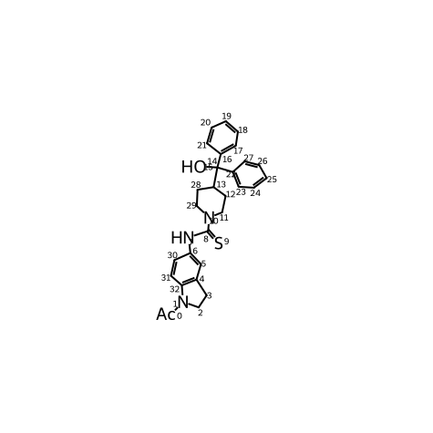 CC(=O)N1CCc2cc(NC(=S)N3CCC(C(O)(c4ccccc4)c4ccccc4)CC3)ccc21